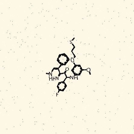 CN/C=C(\C(=N)C(=O)C(Nc1cc(OC)cc(OCCCSC)c1)c1ccc(F)cc1)c1ccccc1